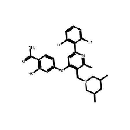 CCc1cccc(CC)c1-c1cc(Oc2ccc(C(N)=O)c(O)c2)c(CN2CC(C)CC(C)C2)c(C)n1